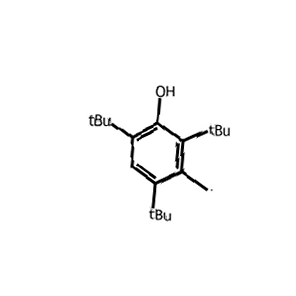 [CH2]c1c(C(C)(C)C)cc(C(C)(C)C)c(O)c1C(C)(C)C